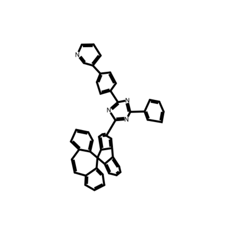 C1=Cc2ccccc2C2(c3ccccc31)c1ccccc1-c1cc(-c3nc(-c4ccccc4)nc(-c4ccc(-c5cccnc5)cc4)n3)ccc12